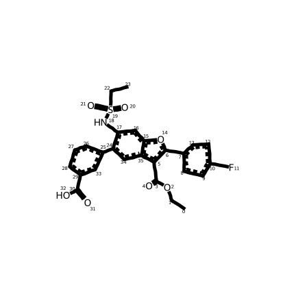 CCOC(=O)c1c(-c2ccc(F)cc2)oc2cc(NS(=O)(=O)CC)c(-c3cccc(C(=O)O)c3)cc12